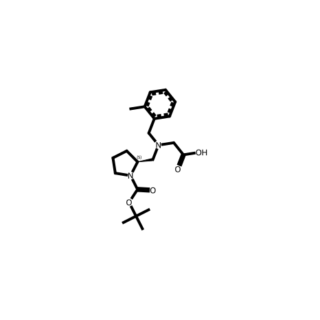 Cc1ccccc1CN(CC(=O)O)C[C@@H]1CCCN1C(=O)OC(C)(C)C